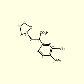 CSc1ccc(C(C[C@H]2CCCO2)C(=O)O)cc1Cl